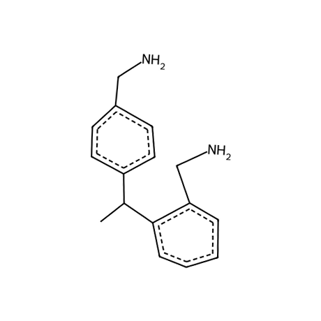 CC(c1ccc(CN)cc1)c1ccccc1CN